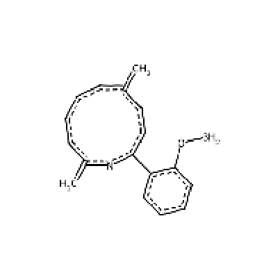 BOc1ccccc1-c1ccc(=C)ccccc(=C)n1